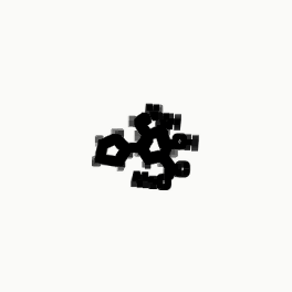 COC(=O)c1cc(C2CCCC2)c2cn[nH]c2c1O